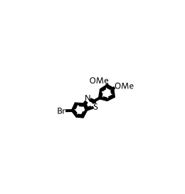 COc1ccc(-c2nc3cc(Br)ccc3s2)cc1OC